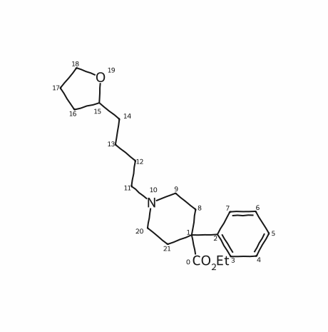 CCOC(=O)C1(c2ccccc2)CCN(CCCCC2CCCO2)CC1